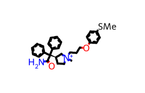 CSc1ccc(OCCC[N+]2(C)CC[C@@H](C(C(N)=O)(c3ccccc3)c3ccccc3)C2)cc1